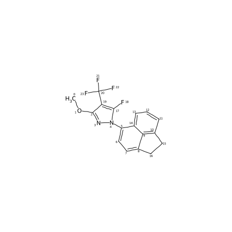 COc1nn(-c2ccc3c4c(cccc24)CC3)c(F)c1C(F)(F)F